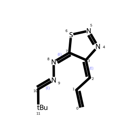 C=C/C=C1/N=NS/C1=N/N=C/C(C)(C)C